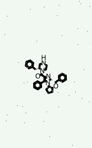 O=C(c1ncn(C2CCC[C@H]2OCc2ccccc2)c1-c1ccccc1)N1CCNC[C@H]1Cc1ccccc1